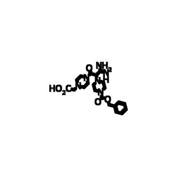 N=C(N)C(C(=O)N1CCN(CC(=O)O)CC1)N1CCN(C(=O)OCc2ccccc2)CC1